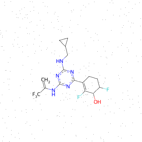 C=C(Nc1nc(NCC2CC2)nc(C2=C(F)C(O)C(F)CC2)n1)C(F)(F)F